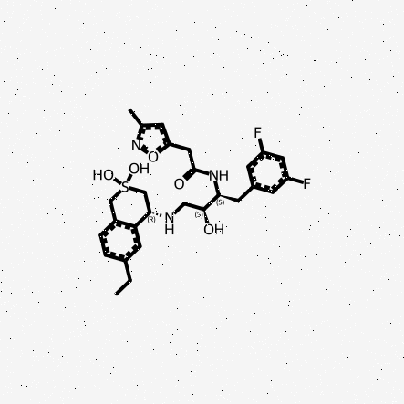 CCc1ccc2c(c1)[C@@H](NC[C@H](O)[C@H](Cc1cc(F)cc(F)c1)NC(=O)Cc1cc(C)no1)CS(O)(O)C2